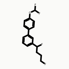 FCCCC(F)c1cccc(-c2ccc(OC(F)F)cc2)c1